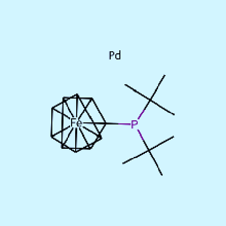 CC(C)(C)P(C(C)(C)C)[C]12[CH]3[CH]4[CH]5[CH]1[Fe]45321678[CH]2[CH]1[CH]6[CH]7[CH]28.[Pd]